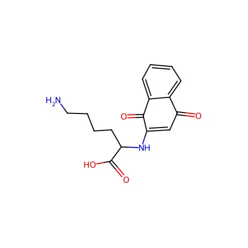 NCCCCC(NC1=CC(=O)c2ccccc2C1=O)C(=O)O